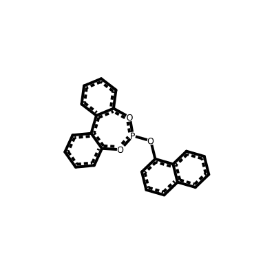 c1ccc2c(Op3oc4ccccc4c4ccccc4o3)cccc2c1